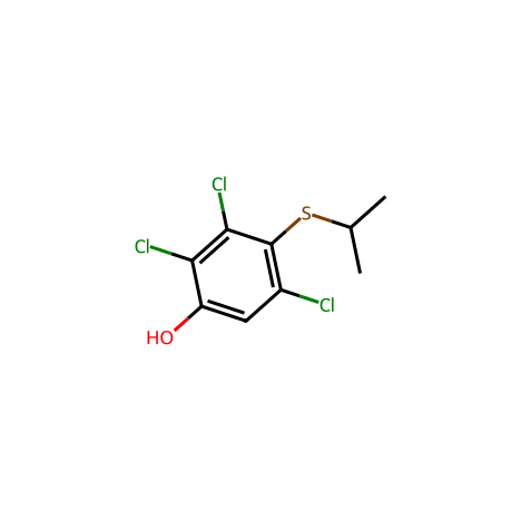 CC(C)Sc1c(Cl)cc(O)c(Cl)c1Cl